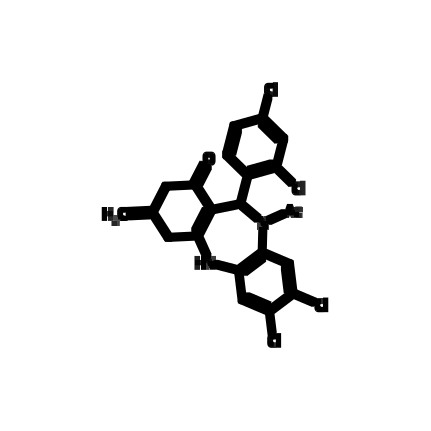 C=C1CC(=O)C2=C(C1)Nc1cc(Cl)c(Cl)cc1N(C(C)=O)C2c1ccc(Cl)cc1Cl